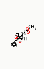 CCOC(=O)CCCCCC(C(C)=O)C(CCc1ccccc1)OC